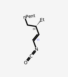 CCCCCC[C@@H](/C=C/N=C=O)CC